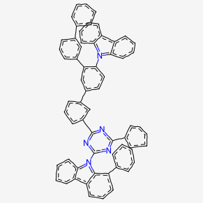 c1ccc(-c2cccc(-c3cc(-c4cccc(-c5nc(-c6ccccc6)nc(-n6c7ccccc7c7cccc(-c8ccccc8)c76)n5)c4)ccc3-n3c4ccccc4c4ccccc43)c2)cc1